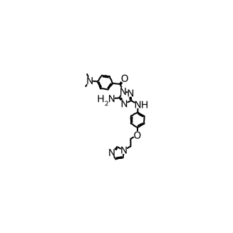 CN(C)c1ccc(C(=O)n2nc(Nc3ccc(OCCn4ccnc4)cc3)nc2N)cc1